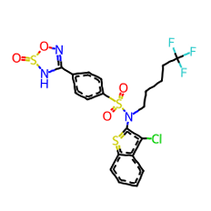 O=S1NC(c2ccc(S(=O)(=O)N(CCCCC(F)(F)F)c3sc4ccccc4c3Cl)cc2)=NO1